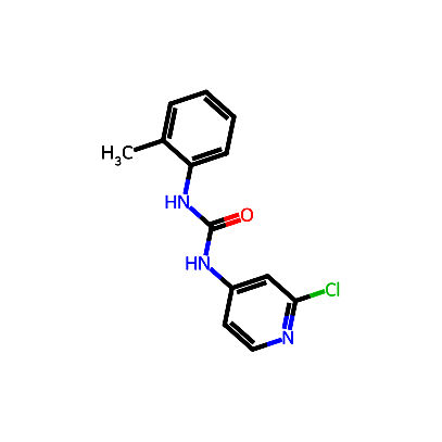 Cc1ccccc1NC(=O)Nc1ccnc(Cl)c1